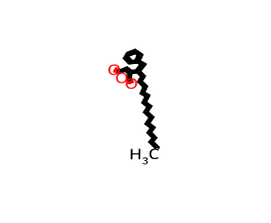 CCCCCCCCCCCCCCCCC(=Cc1ccccc1)C1=CC(=O)OC1=O